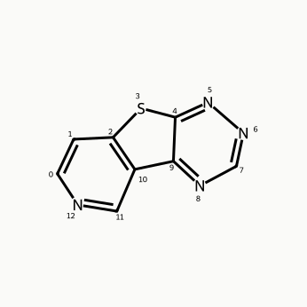 c1cc2sc3nncnc3c2cn1